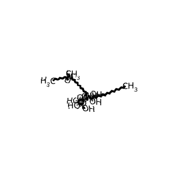 CCCCCCCCCCCCCC[C@@H](O)[C@@H](O)[C@H](CO[C@H]1O[C@H](CO)[C@H](O)[C@H](O)[C@H]1O)NC(=O)CCCCCCCCCCCN(C)C(=O)CCCCCC